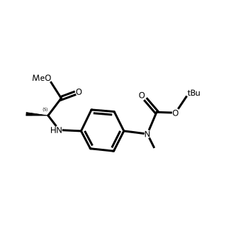 COC(=O)[C@H](C)Nc1ccc(N(C)C(=O)OC(C)(C)C)cc1